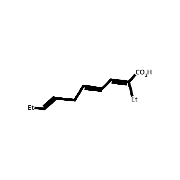 CCC=CCC=C/C=C(\CC)C(=O)O